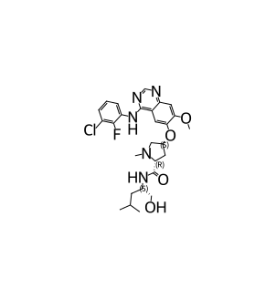 COc1cc2ncnc(Nc3cccc(Cl)c3F)c2cc1O[C@H]1C[C@H](C(=O)N[C@H](CO)CC(C)C)N(C)C1